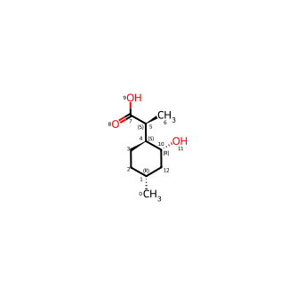 C[C@@H]1CC[C@@H]([C@H](C)C(=O)O)[C@H](O)C1